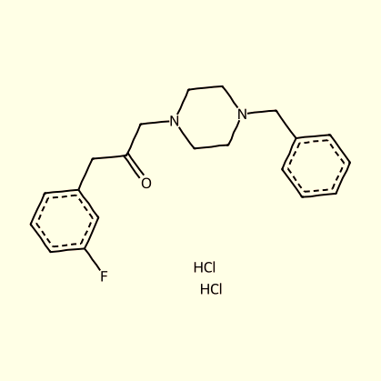 Cl.Cl.O=C(Cc1cccc(F)c1)CN1CCN(Cc2ccccc2)CC1